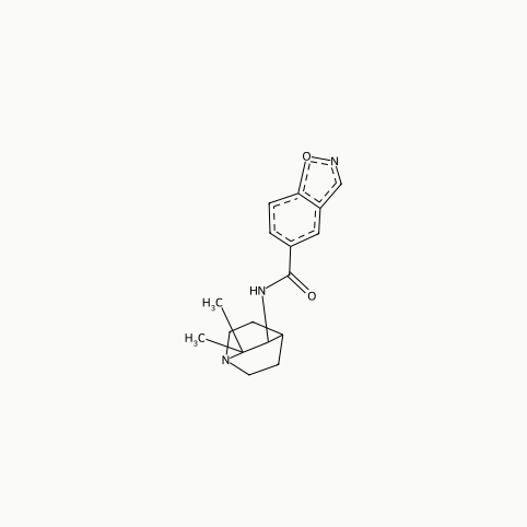 CC1(C)C(NC(=O)c2ccc3oncc3c2)C2CCN1CC2